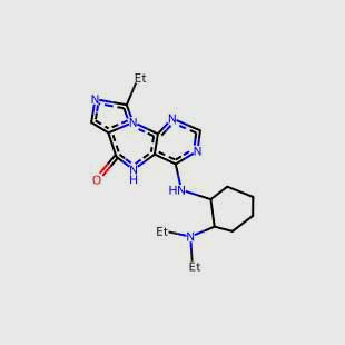 CCc1ncc2c(=O)[nH]c3c(NC4CCCCC4N(CC)CC)ncnc3n12